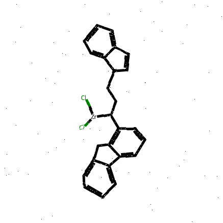 [Cl][Zr]([Cl])[CH](CCC1C=Cc2ccccc21)c1cccc2c1Cc1ccccc1-2